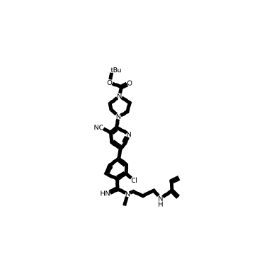 C=CC(=C)NCCCN(C)C(=N)c1ccc(-c2cnc(N3CCN(C(=O)OC(C)(C)C)CC3)c(C#N)c2)cc1Cl